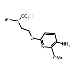 CCCN(CCOc1ccc(N)c(OC)n1)C(=O)O